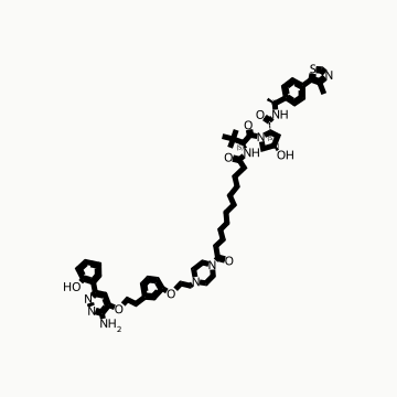 Cc1ncsc1-c1ccc([C@H](C)NC(=O)[C@@H]2C[C@@H](O)CN2C(=O)[C@@H](NC(=O)CCCCCCCCCCC(=O)N2CCN(CCOc3cccc(CCOc4cc(-c5ccccc5O)nnc4N)c3)CC2)C(C)(C)C)cc1